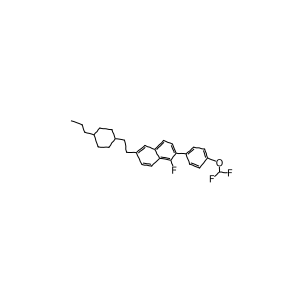 CCCC1CCC(CCc2ccc3c(F)c(-c4ccc(OC(F)F)cc4)ccc3c2)CC1